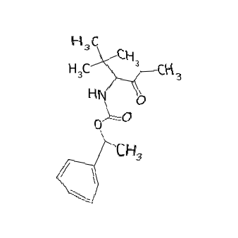 CCC(=O)C(NC(=O)OC(C)c1ccccc1)C(C)(C)C